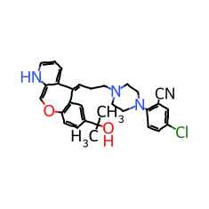 CC(C)(O)c1ccc2c(c1)C(=CCCN1CCN(c3ccc(Cl)cc3C#N)CC1)C1=CC=CNC1=CO2